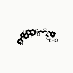 C[C@]12CC[C@H](OC(=O)CCC(=O)N(CCOC=O)Cc3ccccc3)CC1=CC[C@@H]1[C@@H]2CC[C@]2(C)C(c3cccnc3)=CC[C@@H]12